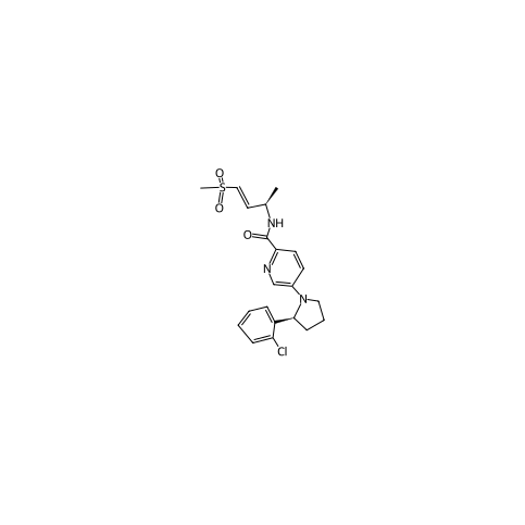 C[C@H](/C=C/S(C)(=O)=O)NC(=O)c1ccc(N2CCC[C@H]2c2ccccc2Cl)cn1